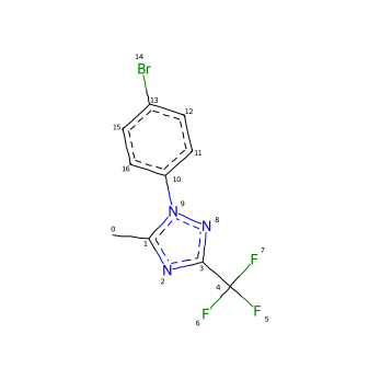 Cc1nc(C(F)(F)F)nn1-c1ccc(Br)cc1